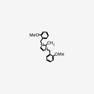 COc1ccccc1CN1C=CN(Cc2ccccc2OC)C1C